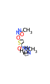 Cc1nnc(Oc2ccc(C(=O)N[C@@H]3C4CCN(CC4)[C@H]3C)s2)o1